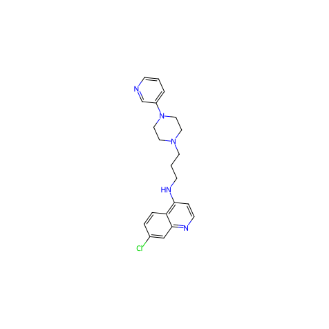 Clc1ccc2c(NCCCN3CCN(c4cccnc4)CC3)ccnc2c1